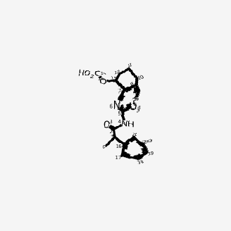 CC(C(=O)Nc1nc2c(s1)CCCC2OC(=O)O)c1ccccc1